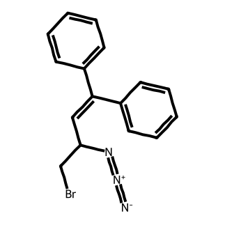 [N-]=[N+]=NC(C=C(c1ccccc1)c1ccccc1)CBr